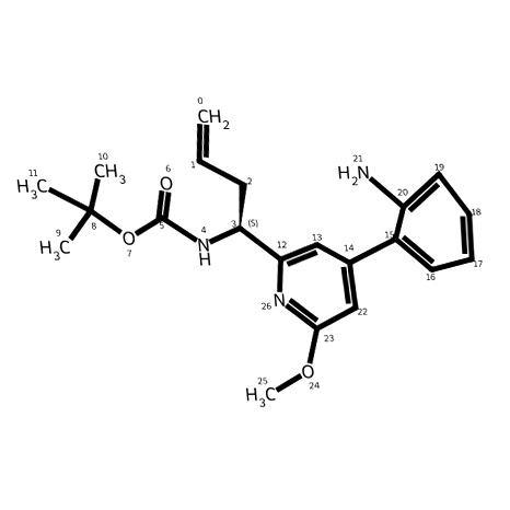 C=CC[C@H](NC(=O)OC(C)(C)C)c1cc(-c2ccccc2N)cc(OC)n1